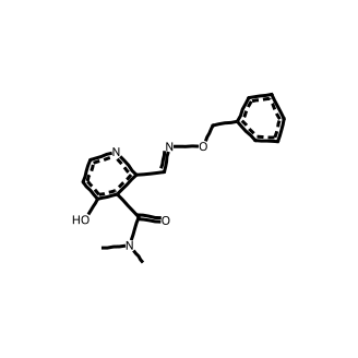 CN(C)C(=O)c1c(O)ccnc1C=NOCc1ccccc1